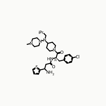 CC(C)CN(C1CCN(C(=O)[C@@H](Cc2ccc(Cl)cc2)NC(=O)CC(N)c2cccs2)CC1)N1CCN(C)CC1